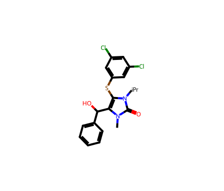 CC(C)n1c(Sc2cc(Cl)cc(Cl)c2)c(C(O)c2ccccc2)n(C)c1=O